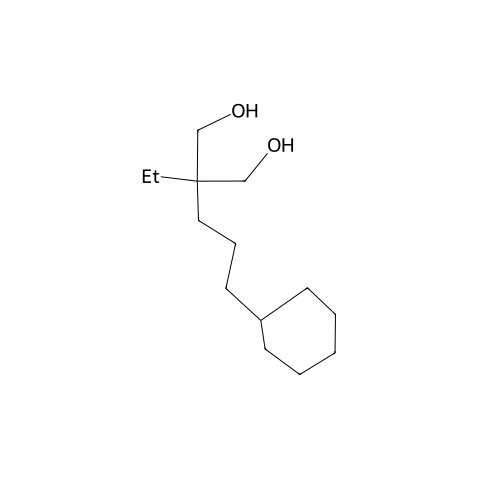 CCC(CO)(CO)CCCC1CCCCC1